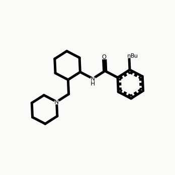 CCCCc1ccccc1C(=O)NC1CCCCC1CN1CCCCC1